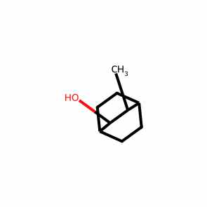 CC1C2CCC(CC2)C1O